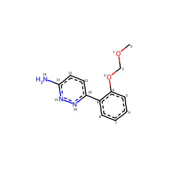 COCOc1ccccc1-c1ccc(N)nn1